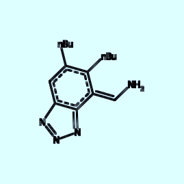 CCCCc1cc2c(c(=CN)c1CCCC)=NN=N2